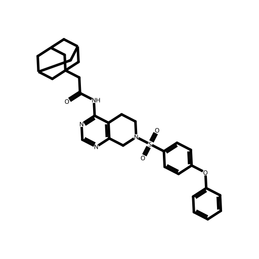 O=C(CC12CC3CC(CC(C3)C1)C2)Nc1ncnc2c1CCN(S(=O)(=O)c1ccc(Oc3ccccc3)cc1)C2